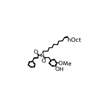 CCCCCCCC/C=C\CCCCCCCCN(C(=O)/C=C/c1ccccc1)C(=O)Cc1ccc(O)c(OC)c1